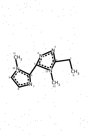 CCc1nnc(-c2nccn2C)n1C